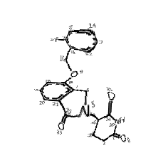 O=C1CCC(N2Cc3c(OCc4ccccc4F)cccc3C2=O)C(=O)N1